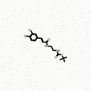 CC(C)(C)OC(=O)NCCNC(=O)C=Cc1ccc(Cl)c(Cl)c1